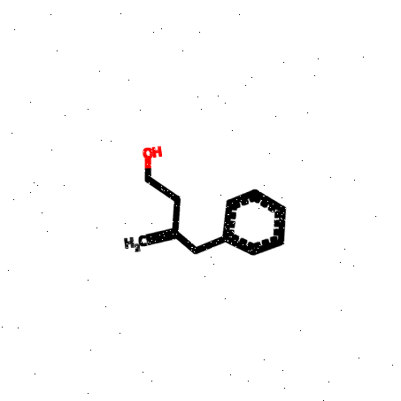 C=C(CCO)Cc1ccccc1